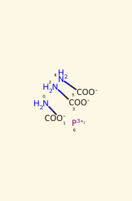 NC(=O)[O-].NC(=O)[O-].NC(=O)[O-].[P+3]